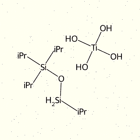 CC(C)[SiH2]O[Si](C(C)C)(C(C)C)C(C)C.[OH][Ti]([OH])([OH])[OH]